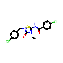 O=C(Nc1nc(=O)n(Cc2ccc(Cl)cc2)s1)c1ccc(Cl)cc1.[Na]